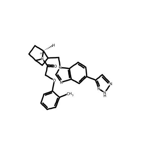 Cc1ccccc1OCC(=O)N1C2CC[C@H]1C(Cn1cnc3cc(-c4cn[nH]n4)ccc31)C2